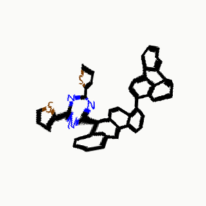 c1csc(-c2nc(-c3cccs3)nc(-c3c4ccccc4cc4c3ccc3c(-c5ccc6c7c(cccc57)-c5ccccc5-6)cccc34)n2)c1